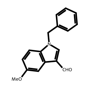 COc1ccc2c(c1)c(C=O)cn2Cc1ccccc1